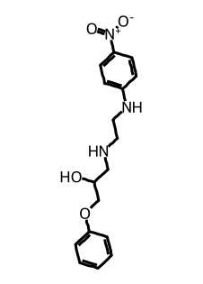 O=[N+]([O-])c1ccc(NCCNCC(O)COc2ccccc2)cc1